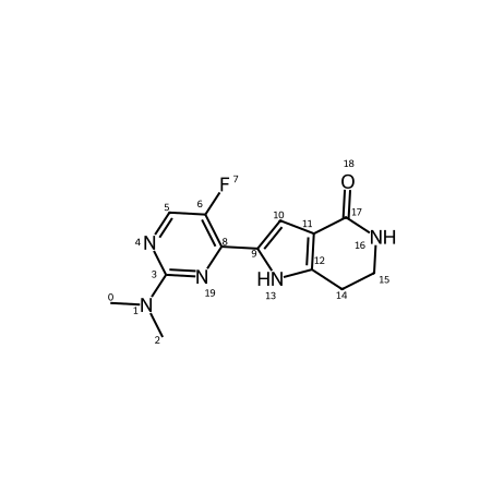 CN(C)c1ncc(F)c(-c2cc3c([nH]2)CCNC3=O)n1